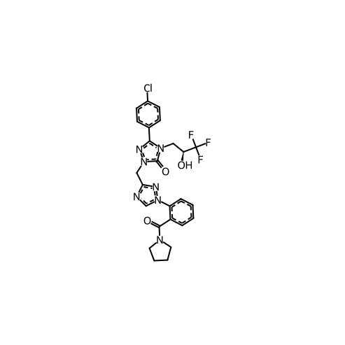 O=C(c1ccccc1-n1cnc(Cn2nc(-c3ccc(Cl)cc3)n(C[C@H](O)C(F)(F)F)c2=O)n1)N1CCCC1